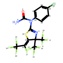 NC(=O)N(C1=NC(C(F)(F)F)(C(F)(F)F)C(=C(F)C(F)(F)F)S1)c1ccc(Cl)cc1